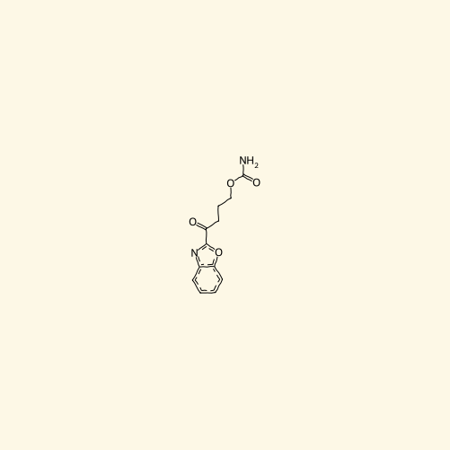 NC(=O)OCCCC(=O)c1nc2ccccc2o1